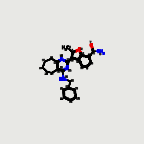 Cc1oc2c(C(N)=O)cccc2c1-c1nc2c(c(NCc3ccccc3)n1)CCCCC2